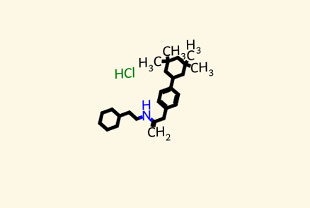 C=C(Cc1ccc(C2CC(C)(C)CC(C)(C)C2)cc1)NCCC1CCCCC1.Cl